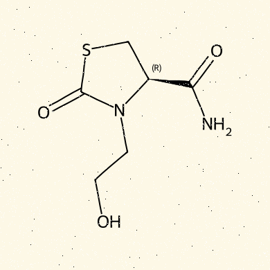 NC(=O)[C@@H]1CSC(=O)N1CCO